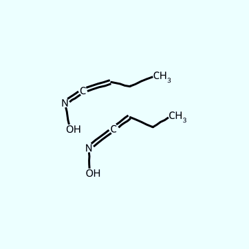 CCC=C=NO.CCC=C=NO